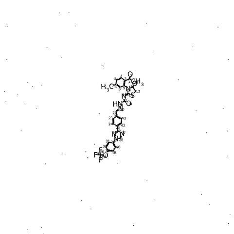 CC(=O)c1ccc(C)cc1N1C(=O)CS/C1=N\C(=O)N/N=C/c1ccc(-c2ncn(-c3ccc(OC(F)(F)F)cc3)n2)cc1